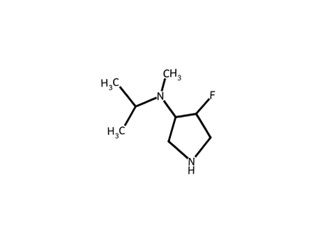 CC(C)N(C)C1CNCC1F